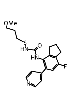 COCCCSNC(=O)Nc1c(-c2ccncc2)cc(F)c2c1CCC2